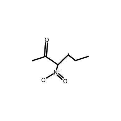 CC[CH]C(C(C)=O)[N+](=O)[O-]